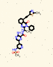 Cc1ncc(C#Cc2cccc3nc(C(C)NC(=O)c4nc(-c5cncc(NS(C)(=O)=O)c5)cnc4N)n(-c4ccccc4)c(=O)c23)s1